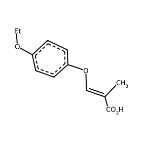 CCOc1ccc(OC=C(C)C(=O)O)cc1